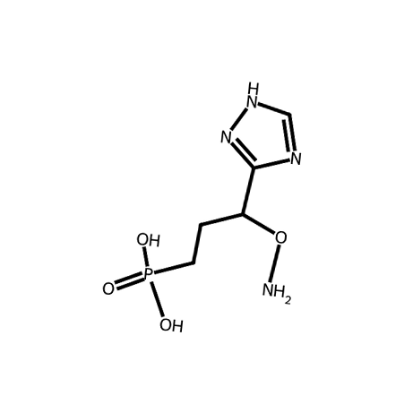 NOC(CCP(=O)(O)O)c1nc[nH]n1